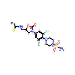 CC(C)C(=S)NCC1CN(c2cc(F)c(N3CCN(S(N)(=O)=O)CC3)c(F)c2)C(=O)O1